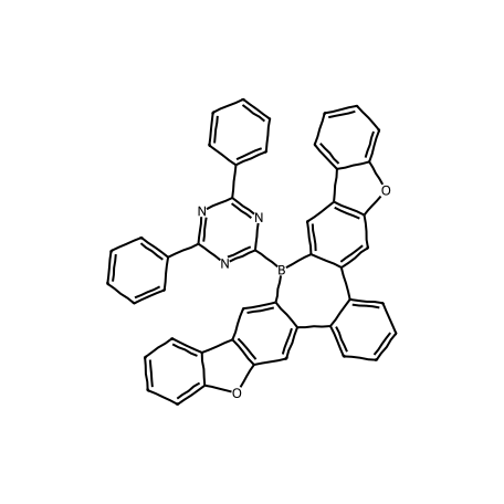 c1ccc(-c2nc(B3c4cc5c(cc4-c4ccccc4-c4cc6oc7ccccc7c6cc43)oc3ccccc35)nc(-c3ccccc3)n2)cc1